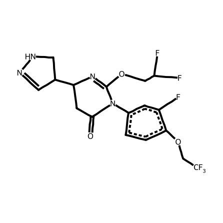 O=C1CC(C2C=NNC2)N=C(OCC(F)F)N1c1ccc(OCC(F)(F)F)c(F)c1